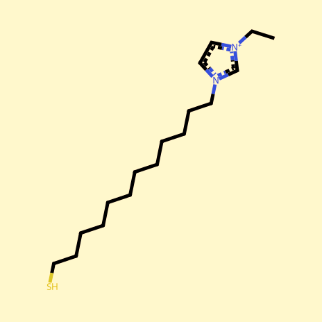 CC[n+]1ccn(CCCCCCCCCCCCS)c1